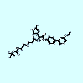 CCOc1cncc(-c2ccc(NC(=O)C(NC(=O)CCOCCNC(=O)OC(C)(C)C)c3csc(C)n3)cc2)n1